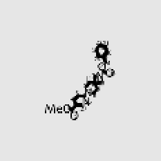 COC(=O)c1ccc(N2CCC3(CC2)CN(C(=O)OCc2ccccc2)C3)nc1